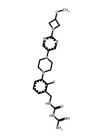 COC1CN(c2ncc(N3CCN(c4cccc(CNC(=O)NC(=N)N)c4F)CC3)cn2)C1